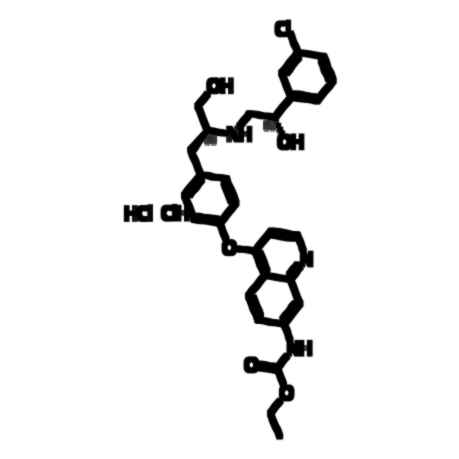 CCOC(=O)Nc1ccc2c(Oc3ccc(C[C@@H](CO)NC[C@@H](O)c4cccc(Cl)c4)cc3)ccnc2c1.Cl.Cl